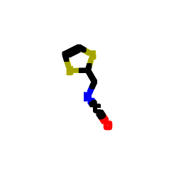 O=C=NCC1SC=CS1